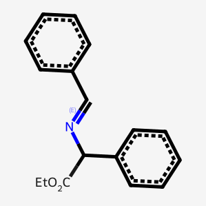 CCOC(=O)C(/N=C/c1ccccc1)c1ccccc1